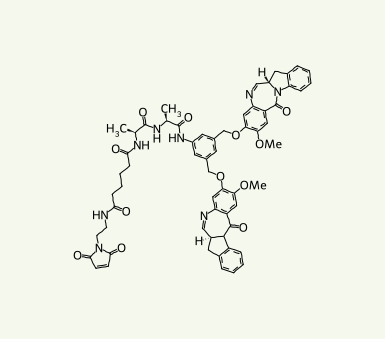 COc1cc2c(cc1OCc1cc(COc3cc4c(cc3OC)C(=O)N3c5ccccc5C[C@H]3C=N4)cc(NC(=O)[C@H](C)NC(=O)[C@H](C)NC(=O)CCCCC(=O)NCCN3C(=O)C=CC3=O)c1)N=C[C@@H]1Cc3ccccc3C1C2=O